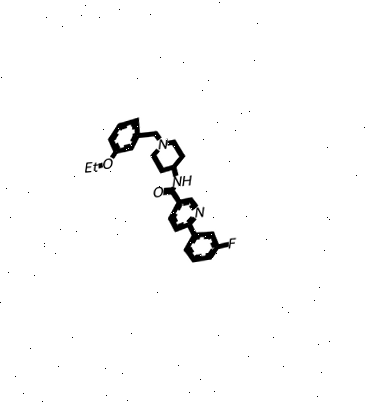 CCOc1cccc(CN2CCC(NC(=O)c3ccc(-c4cccc(F)c4)nc3)CC2)c1